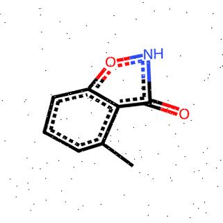 Cc1cccc2o[nH]c(=O)c12